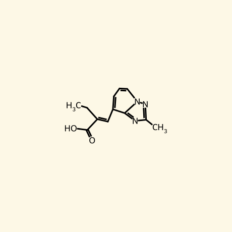 CC/C(=C\c1cccn2nc(C)nc12)C(=O)O